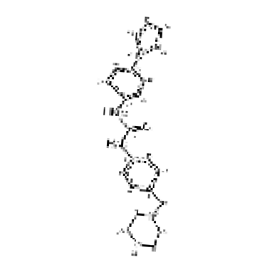 O=C(Nc1ccc(CN2CCOCC2)cc1)Nc1ccc(-n2cccn2)cc1